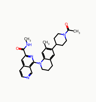 CNC(=O)c1cc2ccncc2c(N2CCCc3cc(C4CCN(C(C)=O)CC4)c(C)cc32)n1